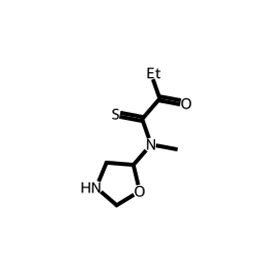 CCC(=O)C(=S)N(C)C1CNCO1